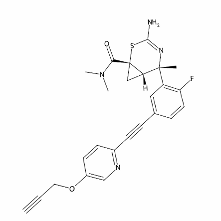 C#CCOc1ccc(C#Cc2ccc(F)c([C@@]3(C)N=C(N)S[C@@]4(C(=O)N(C)C)C[C@H]43)c2)nc1